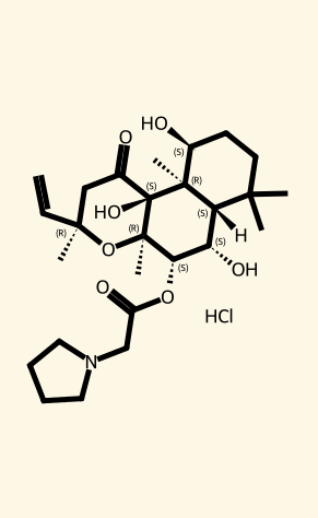 C=C[C@@]1(C)CC(=O)[C@]2(O)[C@@]3(C)[C@@H](O)CCC(C)(C)[C@@H]3[C@H](O)[C@H](OC(=O)CN3CCCC3)[C@@]2(C)O1.Cl